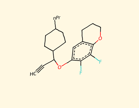 C#CC(Oc1cc2c(c(F)c1F)OCCC2)C1CCC(CCC)CC1